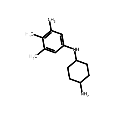 Cc1cc(NC2CCC(N)CC2)cc(C)c1C